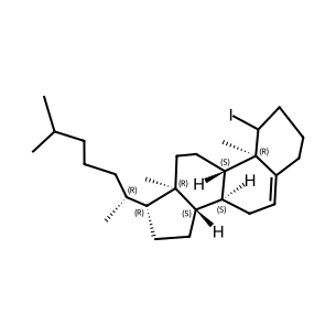 CC(C)CCC[C@@H](C)[C@H]1CC[C@H]2[C@@H]3CC=C4CCCC(I)[C@]4(C)[C@H]3CC[C@]12C